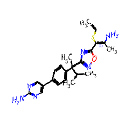 C=CS/C(=C(/C)N)c1nc(C(C)(c2ccc(-c3cnc(N)nc3)cc2)C(C)C)no1